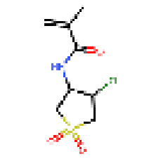 C=C(C)C(=O)NC1CS(=O)(=O)CC1Cl